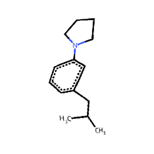 C[C](C)Cc1cccc(N2CCCC2)c1